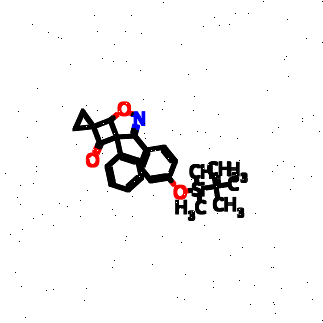 CC(C)(C)[Si](C)(C)Oc1ccc(C2=NOC3C4(CC4)C(=O)C23c2ccccc2)cc1